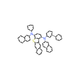 c1ccc(-c2cccc(N(c3ccc4ccccc4c3)c3ccc(N(c4ccccc4)c4ccc5ccccc5c4)c4sc5cc6ccccc6cc5c34)c2)cc1